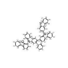 c1ccc(-c2cc3c(cc2-c2ccc4c5ccccc5n(-c5ccc6sc7ccccc7c6c5)c4c2)c2ccccc2n3-c2cccc3c2oc2ccccc23)cc1